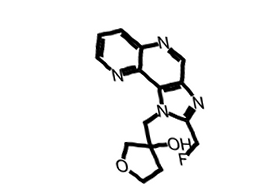 OC1(Cn2c(CF)nc3cnc4cccnc4c32)CCOC1